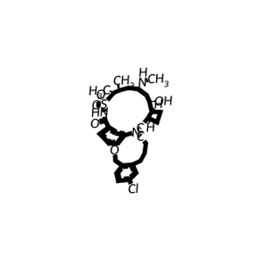 CN[C@@H]1C[C@H](C)[C@@H](C)S(=O)(=O)NC(=O)c2ccc3c(c2)N(CCCCc2cc(Cl)ccc2CO3)C[C@@H]2CC[C@H]2[C@@H](O)C1